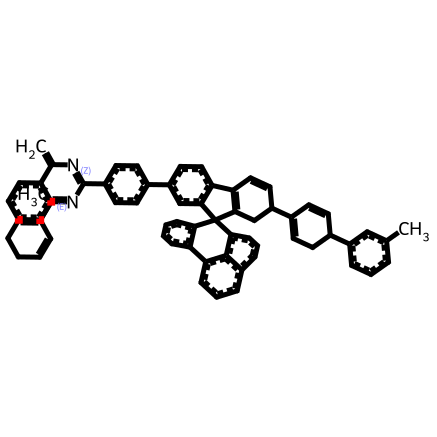 C=C(/N=C(\N=C(/C)C1=CCCC=C1)c1ccc(-c2ccc3c(c2)C2(C4=C3C=CC(C3=CCC(c5cccc(C)c5)C=C3)C4)c3ccccc3-c3cccc4cccc2c34)cc1)c1ccccc1